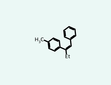 CCC(=Cc1ccccc1)c1ccc(C)cc1